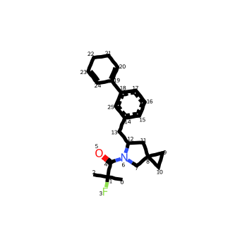 CC(C)(F)C(=O)N1CC2(CC2)CC1Cc1cccc(C2=CCCC=C2)c1